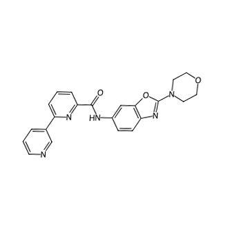 O=C(Nc1ccc2nc(N3CCOCC3)oc2c1)c1cccc(-c2cccnc2)n1